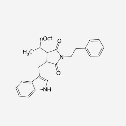 CCCCCCCCC(C)C1[C](Cc2c[nH]c3ccccc23)C(=O)N(CCc2ccccc2)C1=O